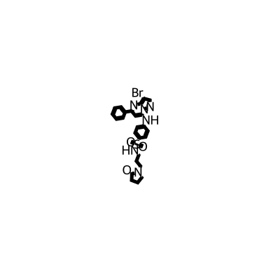 O=C1CCCN1CCCNS(=O)(=O)c1ccc(Nc2cc(-c3ccccc3)nc3c(Br)cnn23)cc1